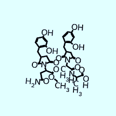 CC(NC(=O)C(C)N1C(=O)CC(Cc2ccc(O)cc2O)C1=O)C(=O)O.CCOC(=O)C(CC(N)=O)N1C(=O)CC(Cc2ccc(O)cc2O)C1=O